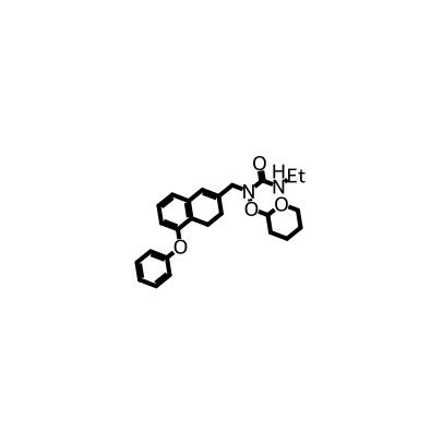 CCNC(=O)N(CC1=Cc2cccc(Oc3ccccc3)c2CC1)OC1CCCCO1